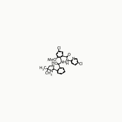 COc1cc(Cl)cc(C(=O)Nc2ccc(Cl)cn2)c1NC(=O)c1ccccc1C1=NC(C)(C)CN1